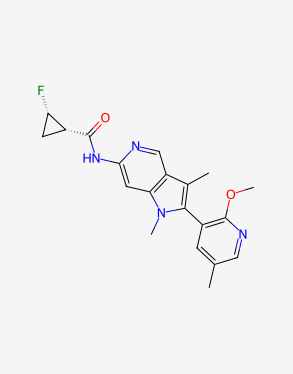 COc1ncc(C)cc1-c1c(C)c2cnc(NC(=O)[C@@H]3C[C@@H]3F)cc2n1C